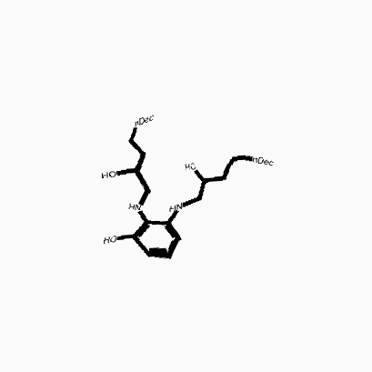 CCCCCCCCCCCCC(O)CNc1cccc(O)c1NCC(O)CCCCCCCCCCCC